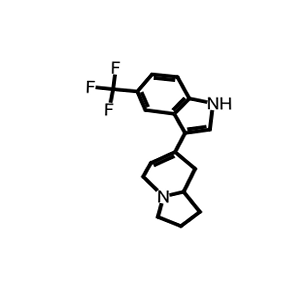 FC(F)(F)c1ccc2[nH]cc(C3=CCN4CCCC4C3)c2c1